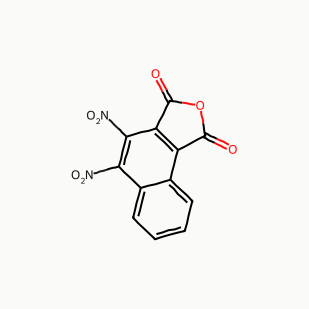 O=C1OC(=O)c2c1c([N+](=O)[O-])c([N+](=O)[O-])c1ccccc21